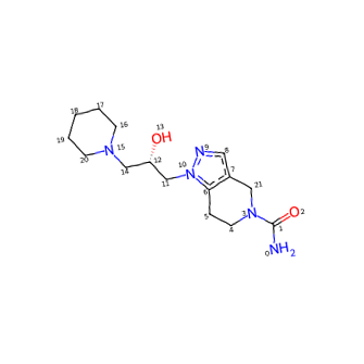 NC(=O)N1CCc2c(cnn2C[C@@H](O)CN2CCCCC2)C1